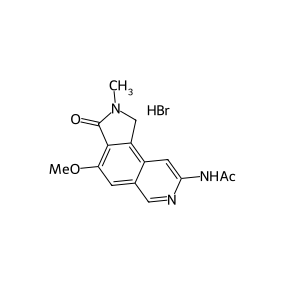 Br.COc1cc2cnc(NC(C)=O)cc2c2c1C(=O)N(C)C2